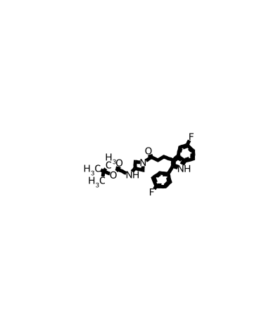 CC(C)(C)OC(=O)NC1CN(C(=O)CCc2c(-c3ccc(F)cc3)[nH]c3ccc(F)cc23)C1